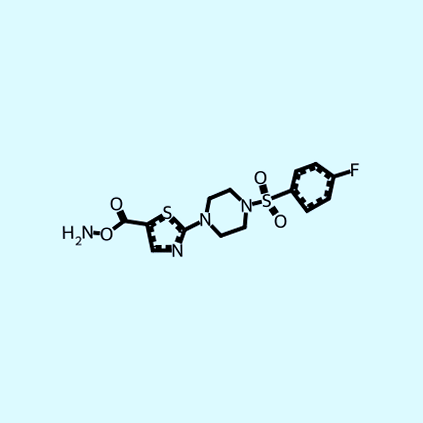 NOC(=O)c1cnc(N2CCN(S(=O)(=O)c3ccc(F)cc3)CC2)s1